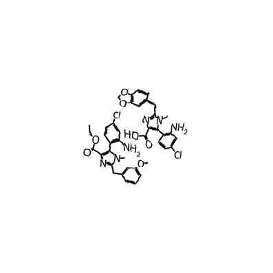 CCOC(=O)c1nc(Cc2cccc(OC)c2)n(C)c1-c1ccc(Cl)cc1N.Cn1c(Cc2ccc3c(c2)OCO3)nc(C(=O)O)c1-c1ccc(Cl)cc1N